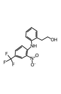 O=[N+]([O-])c1cc(C(F)(F)F)ccc1Nc1ccccc1CCO